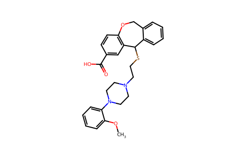 COc1ccccc1N1CCN(CCSC2c3ccccc3COc3ccc(C(=O)O)cc32)CC1